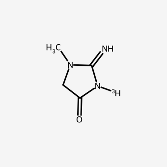 [3H]N1C(=N)N(C)CC1=O